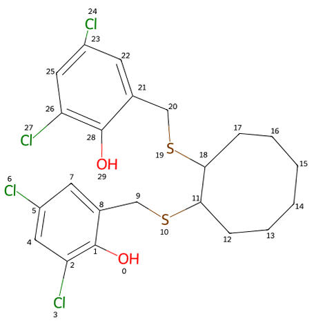 Oc1c(Cl)cc(Cl)cc1CSC1CCCCCCC1SCc1cc(Cl)cc(Cl)c1O